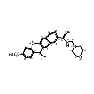 O=C(O)c1ccc(C(O)c2cc3cc(C(=O)NCN4CCOCC4)ccc3cc2O)cc1